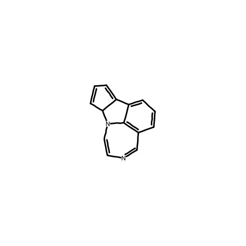 C1=CC2C(=C1)c1cccc3c1N2C=CN=C3